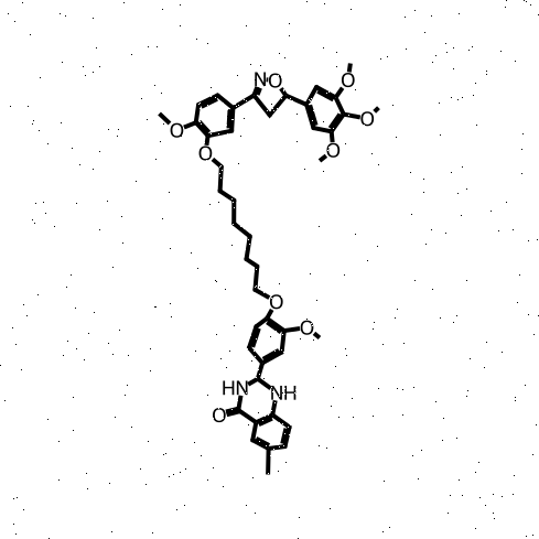 COc1cc(C2NC(=O)c3cc(C)ccc3N2)ccc1OCCCCCCCCOc1cc(C2=NOC(c3cc(OC)c(OC)c(OC)c3)C2)ccc1OC